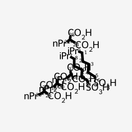 CC(C)CCCCCS(=O)(=O)O.CC(C)CCCCCS(=O)(=O)O.CCCC(C(=O)O)C(=O)O.CCCC(C(=O)O)C(=O)O.CCCC(C(=O)O)C(=O)O.CCCC(C(=O)O)C(=O)O